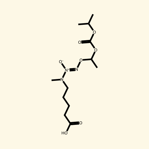 CC(C)OC(=O)OC(C)ON=[N+]([O-])N(C)CCCCC(=O)O